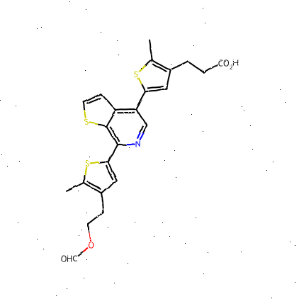 Cc1sc(-c2cnc(-c3cc(CCOC=O)c(C)s3)c3sccc23)cc1CCC(=O)O